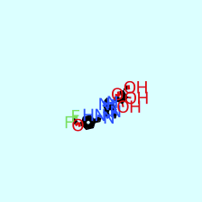 OC[C@H]1OC(n2cnc3c(NCc4ccc(OC(F)F)cc4)ncnc32)[C@H](O)[C@@H]1O